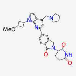 COC1CC(n2ccc3c(CN4CCCC4)cc(-c4ccc5c(c4)CN(C4CCC(=O)NC4=O)C5=O)nc32)C1